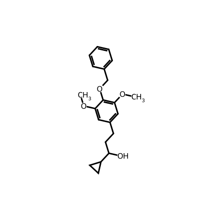 COc1cc(CCC(O)C2CC2)cc(OC)c1OCc1ccccc1